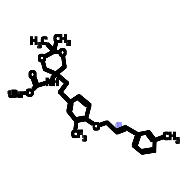 Cc1cccc(/C=C/COc2ccc(CCC3(NC(=O)OC(C)(C)C)COC(C)(C)OC3)cc2C(F)(F)F)c1